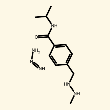 CNNCc1ccc(C(=O)NC(C)C)cc1.N=NN